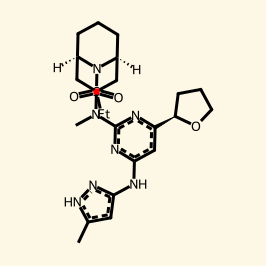 CCS(=O)(=O)N1[C@@H]2CCC[C@H]1CC(N(C)c1nc(Nc3cc(C)[nH]n3)cc([C@H]3CCCO3)n1)C2